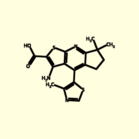 Cc1ncsc1-c1c2c(nc3sc(C(=O)O)c(N)c13)C(C)(C)CC2